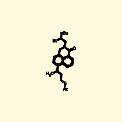 CCCCC(CC)CN1Cc2ccc(N(C)CCSC(C)=O)c3cccc(c23)C1=O